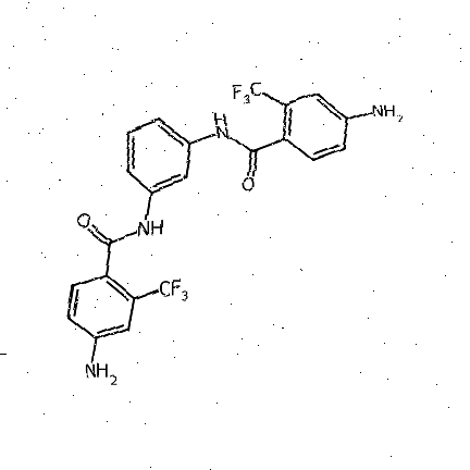 Nc1ccc(C(=O)Nc2cccc(NC(=O)c3ccc(N)cc3C(F)(F)F)c2)c(C(F)(F)F)c1